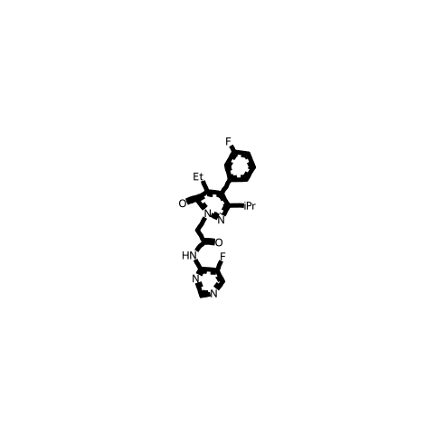 CCc1c(-c2cccc(F)c2)c(C(C)C)nn(CC(=O)Nc2ncncc2F)c1=O